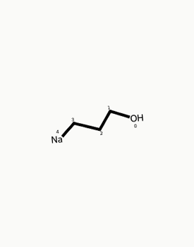 OCC[CH2][Na]